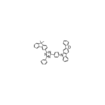 CC1(C)c2ccccc2-c2cc(-c3nc(-c4ccccc4)nc(-c4ccc(-n5c6ccccc6c6cc7oc8ccccc8c7cc65)cc4)n3)ccc21